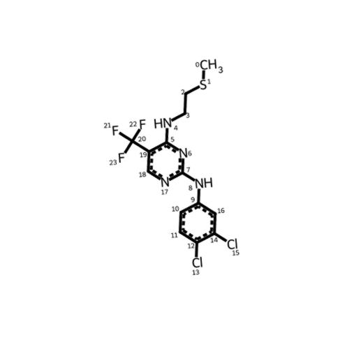 CSCCNc1nc(Nc2ccc(Cl)c(Cl)c2)ncc1C(F)(F)F